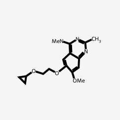 CNc1nc(C)nc2cc(OC)c(OCCOC3CC3)cc12